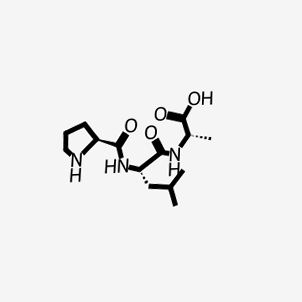 CC(C)C[C@H](NC(=O)[C@@H]1CCCN1)C(=O)N[C@@H](C)C(=O)O